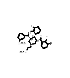 COCCN1C[C@H](C(=O)c2cccc(OC)c2)[C@H](c2cccc(F)c2C)[C@@H](C(=O)c2cccc(F)c2F)C1